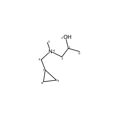 CC(O)CN(C)CC1CC1